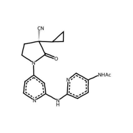 CC(=O)Nc1ccc(Nc2cc(N3CC[C@@](C#N)(C4CC4)C3=O)ccn2)nc1